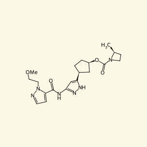 COCCn1nccc1C(=O)Nc1cc([C@H]2CC[C@@H](OC(=O)N3CC[C@@H]3C)C2)[nH]n1